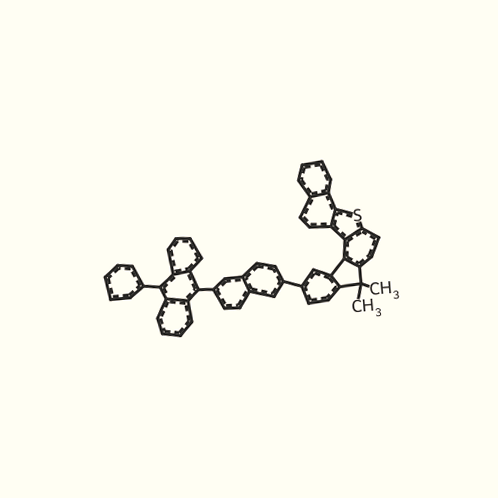 CC1(C)c2ccc(-c3ccc4cc(-c5c6ccccc6c(-c6ccccc6)c6ccccc56)ccc4c3)cc2-c2c1ccc1sc3c4ccccc4ccc3c21